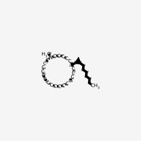 CCCCCCCC1CC1C1CCCCCCCCCCCCCCCCN(C)CCCCC1